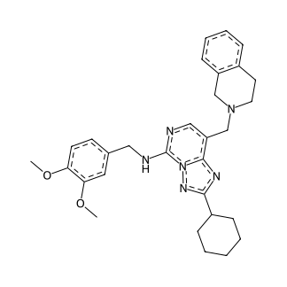 COc1ccc(CNc2ncc(CN3CCc4ccccc4C3)c3nc(C4CCCCC4)nn23)cc1OC